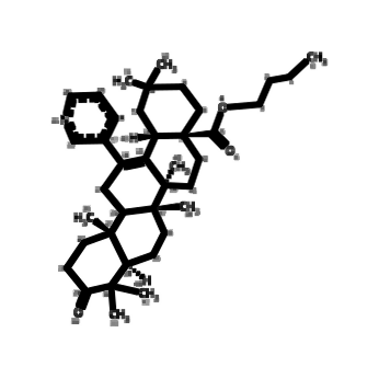 CCCCOC(=O)[C@]12CCC(C)(C)C[C@H]1C1=C(c3cccnc3)CC3[C@@]4(C)CCC(=O)C(C)(C)[C@@H]4CC[C@@]3(C)[C@]1(C)CC2